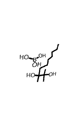 CCCCCCCC(C)(O)C(C)(C)O.OB(O)O